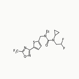 CCN(Cc1ccc(-c2noc(C(F)(F)F)n2)s1)C(=O)N(CC(F)F)C1CC1